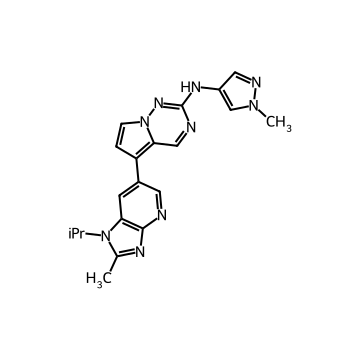 Cc1nc2ncc(-c3ccn4nc(Nc5cnn(C)c5)ncc34)cc2n1C(C)C